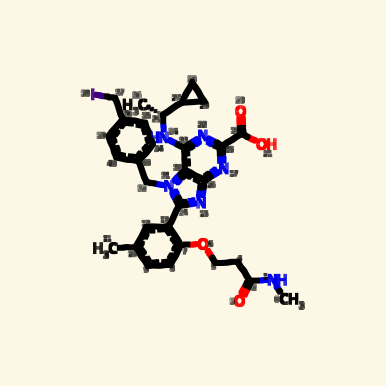 CNC(=O)CCOc1ccc(C)cc1-c1nc2nc(C(=O)O)nc(N[C@H](C)C3CC3)c2n1Cc1ccc(CI)cc1